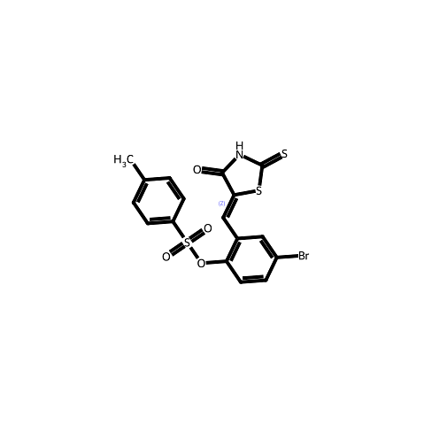 Cc1ccc(S(=O)(=O)Oc2ccc(Br)cc2/C=C2\SC(=S)NC2=O)cc1